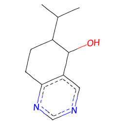 CC(C)C1CCc2ncncc2C1O